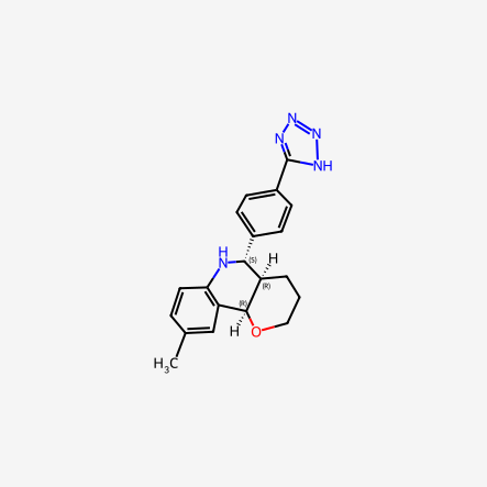 Cc1ccc2c(c1)[C@@H]1OCCC[C@@H]1[C@@H](c1ccc(-c3nnn[nH]3)cc1)N2